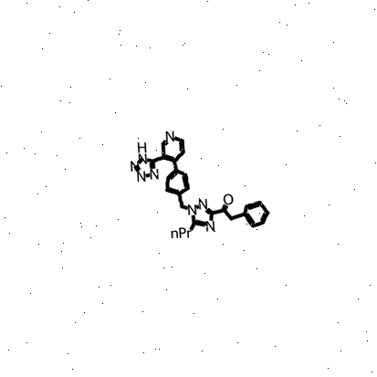 CCCc1nc(C(=O)Cc2ccccc2)nn1Cc1ccc(-c2ccncc2-c2nnn[nH]2)cc1